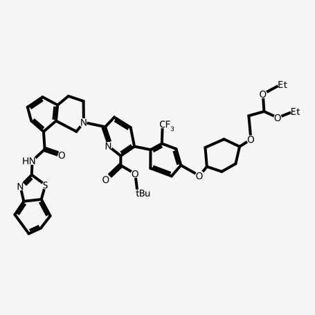 CCOC(COC1CCC(Oc2ccc(-c3ccc(N4CCc5cccc(C(=O)Nc6nc7ccccc7s6)c5C4)nc3C(=O)OC(C)(C)C)c(C(F)(F)F)c2)CC1)OCC